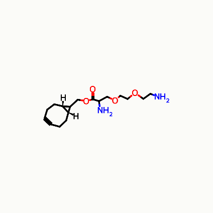 NCCOCCOCC(N)C(=O)OCC1[C@H]2CCC#CCC[C@@H]12